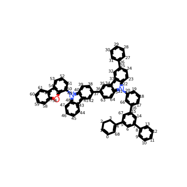 C1=CCCC(c2cc(-c3ccccc3)cc(-c3cccc(-n4c5ccc(-c6ccccc6)cc5c5cc(-c6ccc7c(c6)c6ccccc6n7-c6cccc7c6oc6ccccc67)ccc54)c3)c2)=C1